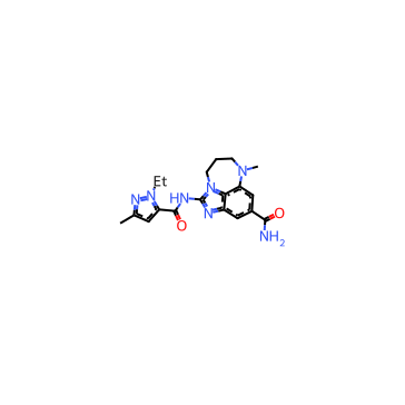 CCn1nc(C)cc1C(=O)Nc1nc2cc(C(N)=O)cc3c2n1CCCN3C